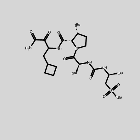 CC(C)(C)[C@H](NC(=O)N[C@H](CS(=O)(=O)C(C)(C)C)C(C)(C)C)C(=O)N1CC[C@@H](C(C)(C)C)[C@H]1C(=O)NC(CC1CCC1)C(=O)C(N)=O